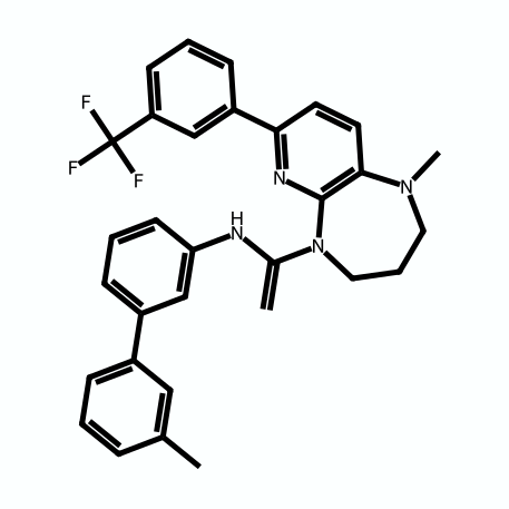 C=C(Nc1cccc(-c2cccc(C)c2)c1)N1CCCN(C)c2ccc(-c3cccc(C(F)(F)F)c3)nc21